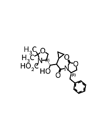 CC1(C)OC[C@H](C(O)C(C(=O)N2C(=O)OC[C@H]2Cc2ccccc2)C2CC2)N1C(=O)O